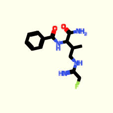 CC(CNC(=N)CF)C(NC(=O)c1ccccc1)C(N)=O